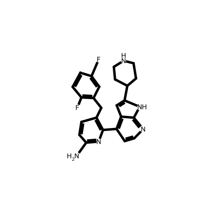 Nc1ccc(Cc2cc(F)ccc2F)c(-c2ccnc3[nH]c(C4CCNCC4)cc23)n1